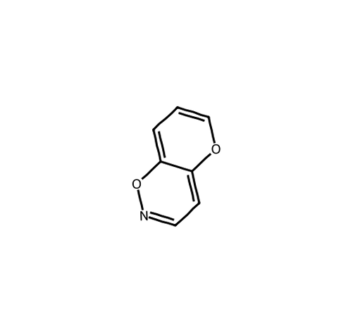 C1=COC2=CC=NOC2=C1